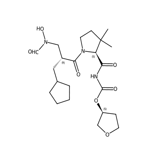 CC1(C)CCN(C(=O)[C@H](CC2CCCC2)CN(O)C=O)[C@@H]1C(=O)NC(=O)O[C@H]1CCOC1